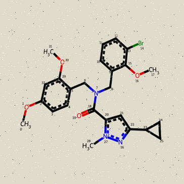 COc1ccc(CN(Cc2cccc(Br)c2OC)C(=O)c2cc(C3CC3)nn2C)c(OC)c1